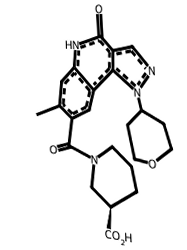 Cc1cc2[nH]c(=O)c3cnn(C4CCOCC4)c3c2cc1C(=O)N1CCC[C@@H](C(=O)O)C1